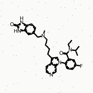 CCN(C(=O)c1cc(F)ccc1-n1cc(CCCCN(C)Cc2ccc3[nH]c(=O)[nH]c3c2)c2ccncc21)C(C)C